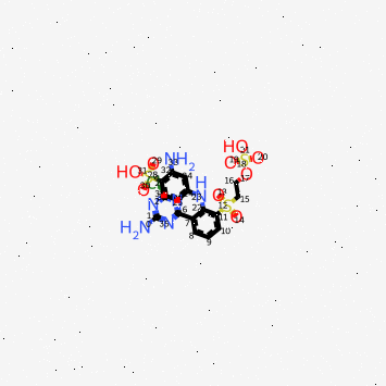 Nc1nc(Cl)nc(-c2cccc(S(=O)(=O)CCOS(=O)(=O)O)c2Nc2ccc(S(=O)(=O)O)c(N)c2)n1